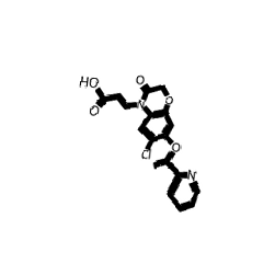 CC(Oc1cc2c(cc1Cl)N(CCC(=O)O)C(=O)CO2)c1ccccn1